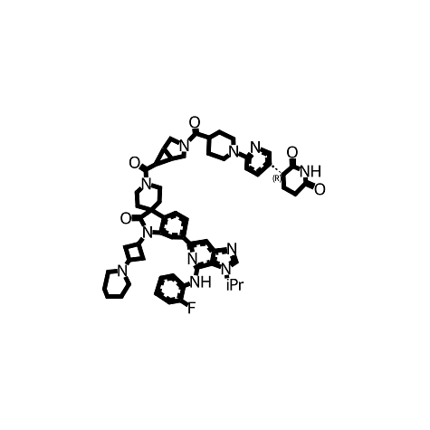 CC(C)n1cnc2cc(-c3ccc4c(c3)N(C3CC(N5CCCCC5)C3)C(=O)C43CCN(C(=O)C4C5CN(C(=O)C6CCN(c7ccc([C@H]8CCC(=O)NC8=O)cn7)CC6)CC54)CC3)nc(Nc3ccccc3F)c21